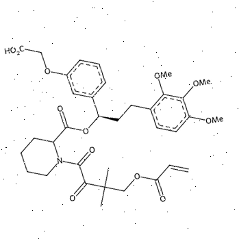 C=CC(=O)OCC(C)(C)C(=O)C(=O)N1CCCCC1C(=O)O[C@H](CCc1ccc(OC)c(OC)c1OC)c1cccc(OCC(=O)O)c1